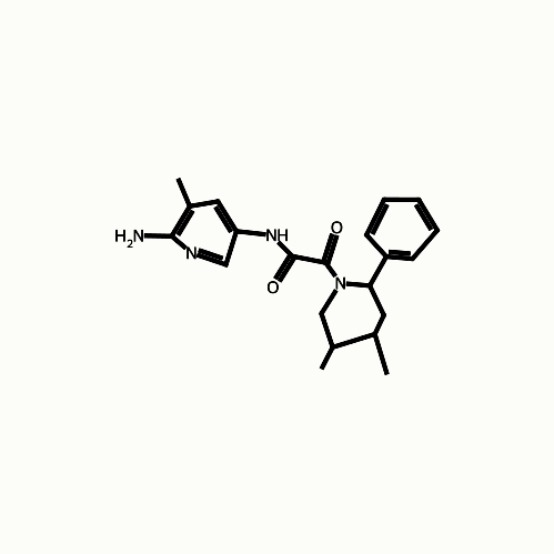 Cc1cc(NC(=O)C(=O)N2CC(C)C(C)CC2c2ccccc2)cnc1N